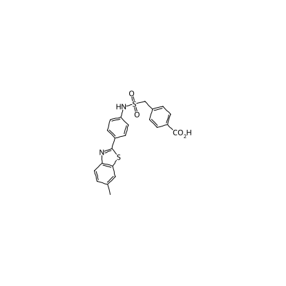 Cc1ccc2nc(-c3ccc(NS(=O)(=O)Cc4ccc(C(=O)O)cc4)cc3)sc2c1